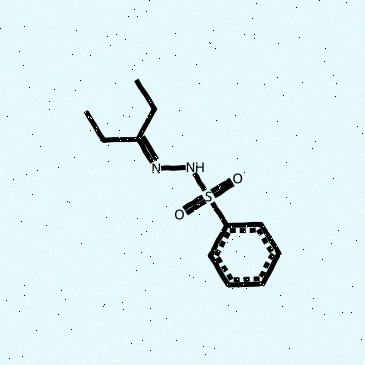 CCC(CC)=NNS(=O)(=O)c1ccccc1